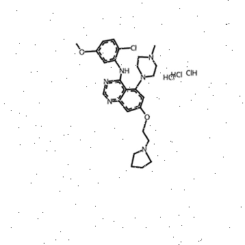 COc1ccc(Cl)c(Nc2ncnc3cc(OCCN4CCCC4)cc(N4CCN(C)CC4)c23)c1.Cl.Cl.Cl